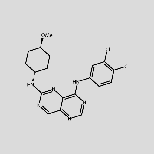 CO[C@H]1CC[C@H](Nc2ncc3ncnc(Nc4ccc(Cl)c(Cl)c4)c3n2)CC1